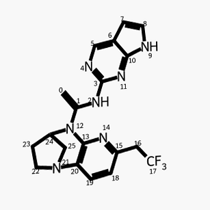 C=C(Nc1ncc2cc[nH]c2n1)N1c2nc(CC(F)(F)F)ccc2N2CCC1C2